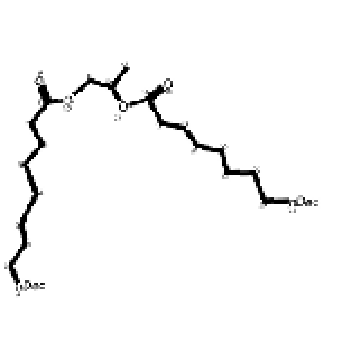 CCCCCCCCCCCCCCCCCC(=O)O[CH]C(C)OC(=O)CCCCCCCCCCCCCCCCC